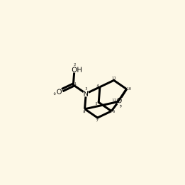 O=C(O)N1C2CC3CC1CC(C2)O3